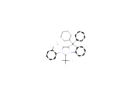 Cc1ccccc1N1C(C(C)(C)C)N2c3ccccc3C(c3ccccc3)(C3CCCCC3)C2[C@@H]1C